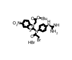 Br.CC(C)(C)OC(=O)CN1c2ccc([N+](=O)[O-])cc2SC1N(C(=O)CBr)c1ccc(NC(=N)N)cc1